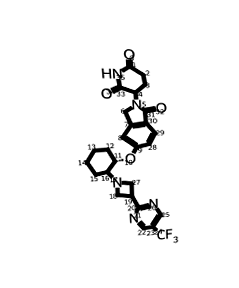 O=C1CCC(N2Cc3cc(O[C@H]4CCCCC4N4CC(c5ncc(C(F)(F)F)cn5)C4)ccc3C2=O)C(=O)N1